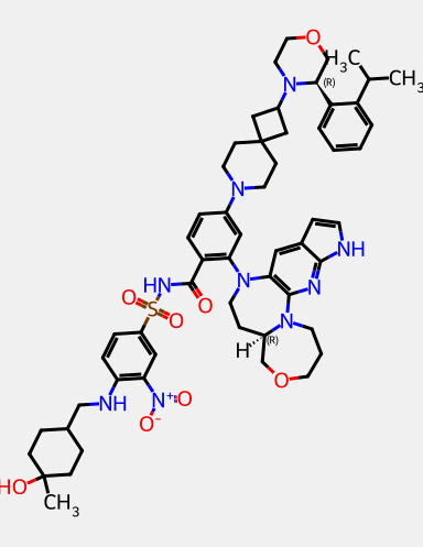 CC(C)c1ccccc1[C@@H]1COCCN1C1CC2(CCN(c3ccc(C(=O)NS(=O)(=O)c4ccc(NCC5CCC(C)(O)CC5)c([N+](=O)[O-])c4)c(N4CC[C@@H]5COCCCN5c5nc6[nH]ccc6cc54)c3)CC2)C1